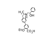 CCOc1cc(-c2ccc(C[C@@H](C)NC[C@H](O)c3ccccc3)cc2)ccc1C(=O)O